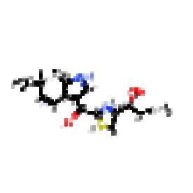 C=C/C=C\c1c(C(=O)c2nc(C(O)CC)cs2)c[nH]c1C